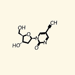 C#Cc1cnc(=O)n([C@H]2C[C@H](O)[C@@H](CO)O2)c1